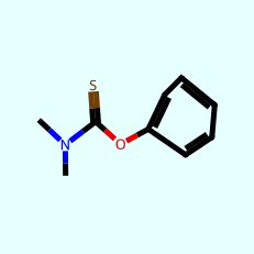 CN(C)C(=S)Oc1ccccc1